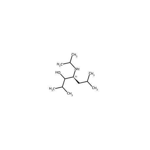 CC(C)C[C@H](NC(C)C)C(O)C(C)C